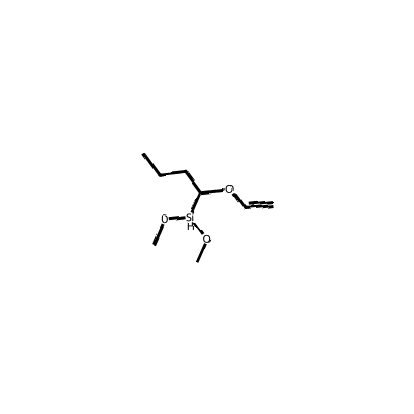 C=COC(CCC)[SiH](OC)OC